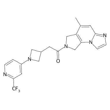 Cc1cc2nccn2c2c1CN(C(=O)CC1CN(c3ccnc(C(F)(F)F)c3)C1)C2